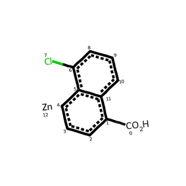 O=C(O)c1cccc2c(Cl)cccc12.[Zn]